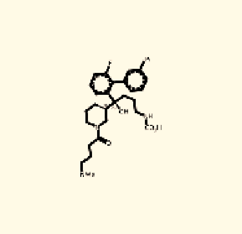 CNCCCC(=O)N1CCC[C@@H]([C@@](O)(CCCNC(=O)O)c2cccc(F)c2-c2cccc(C(C)C)c2)C1